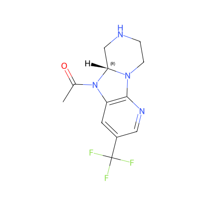 CC(=O)N1c2cc(C(F)(F)F)cnc2N2CCNC[C@H]21